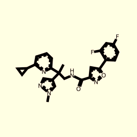 Cn1cc(C(C)(CNC(=O)c2cc(-c3ccc(F)cc3F)on2)c2cccc(C3CC3)n2)cn1